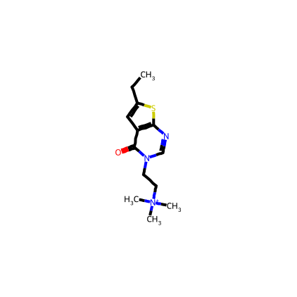 CCc1cc2c(=O)n(CC[N+](C)(C)C)cnc2s1